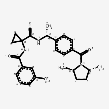 C[C@@H]1CC[C@@H](C)N1C(=O)c1ccc([C@@H](C)NC(=O)C2(NC(=O)c3cncc(C(F)(F)F)c3)CC2)cc1